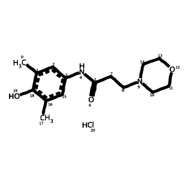 Cc1cc(NC(=O)CCN2CCOCC2)cc(C)c1O.Cl